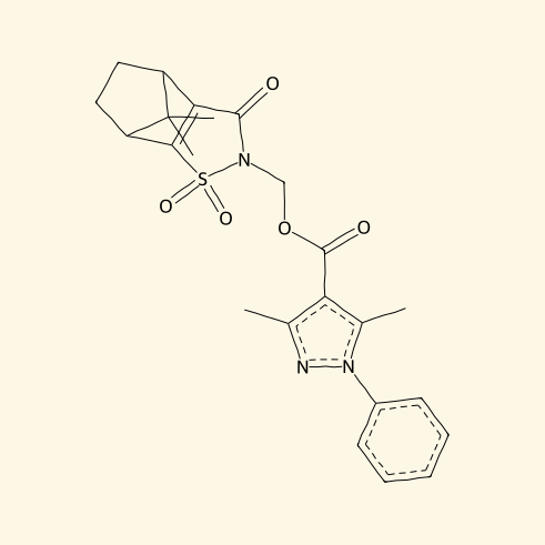 Cc1nn(-c2ccccc2)c(C)c1C(=O)OCN1C(=O)C2=C(C3CCC2C3(C)C)S1(=O)=O